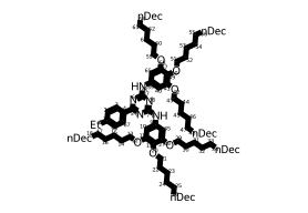 [CH2]Cc1ccc(-c2nc(Nc3cc(OCCCCCCCCCCCCCCC)c(OCCCCCCCCCCCCCCC)c(OCCCCCCCCCCCCCCC)c3)nc(Nc3cc(OCCCCCCCCCCCCCCC)c(OCCCCCCCCCCCCCCC)c(OCCCCCCCCCCCCCCC)c3)n2)cc1